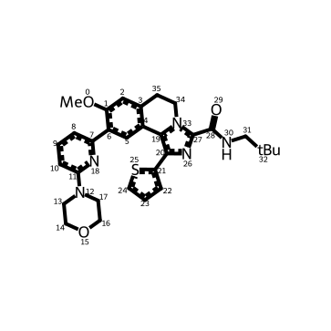 COc1cc2c(cc1-c1cccc(N3CCOCC3)n1)-c1c(-c3cccs3)nc(C(=O)NCC(C)(C)C)n1CC2